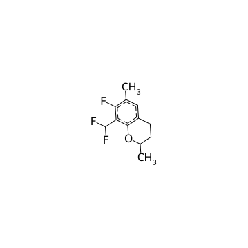 Cc1cc2c(c(C(F)F)c1F)OC(C)CC2